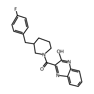 O=C(c1nc2ccccc2nc1O)N1CCCC(Cc2ccc(F)cc2)C1